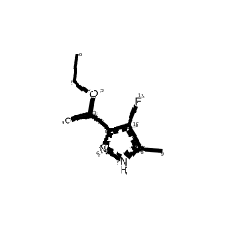 CCOC(=O)c1n[nH]c(C)c1F